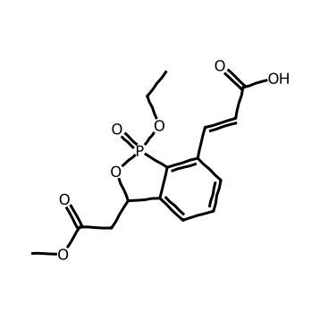 CCOP1(=O)OC(CC(=O)OC)c2cccc(C=CC(=O)O)c21